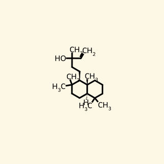 C=CC(C)(O)CC[C@@H]1C(C)(C)CC[C@@H]2C(C)(C)CCC[C@]21C